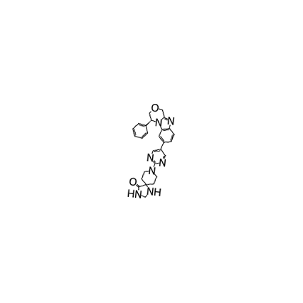 O=C1NCNC12CCN(c1ncc(-c3ccc4nc5n(c4c3)[C@@H](c3ccccc3)COC5)cn1)CC2